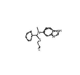 CN(c1ccc2[nH]cnc2c1)C(SCC=S)c1ccccc1